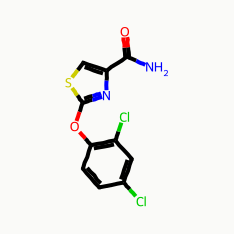 NC(=O)c1csc(Oc2ccc(Cl)cc2Cl)n1